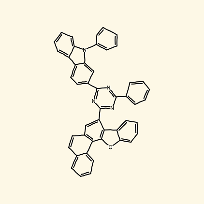 c1ccc(-c2nc(-c3ccc4c5ccccc5n(-c5ccccc5)c4c3)nc(-c3cc4ccc5ccccc5c4c4oc5ccccc5c34)n2)cc1